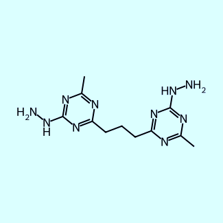 Cc1nc(CCCc2nc(C)nc(NN)n2)nc(NN)n1